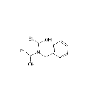 CCC(O)N(Cc1ccccc1)C(O)CC